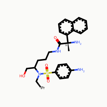 CC(C)CN(C(CO)CCCNC(=O)[C@@](C)(N)c1cccc2ccccc12)S(=O)(=O)c1ccc(N)cc1